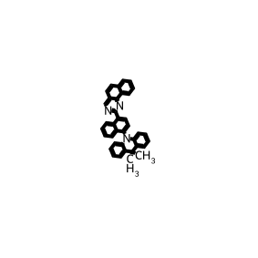 CC1(C)c2ccccc2N(c2ccc(-c3ncc4ccc5ccccc5c4n3)c3ccccc23)c2ccccc21